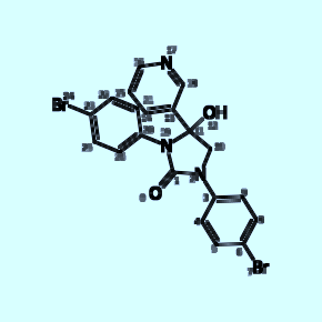 O=C1N(c2ccc(Br)cc2)CC(O)(c2cccnc2)N1c1ccc(Br)cc1